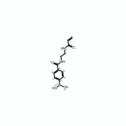 C=CC(=O)NCCNC(=O)c1ccc(B(O)O)cc1